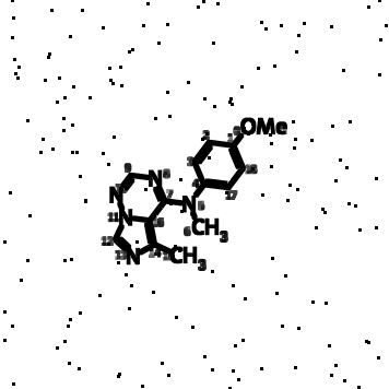 COc1ccc(N(C)c2ncnn3cnc(C)c23)cc1